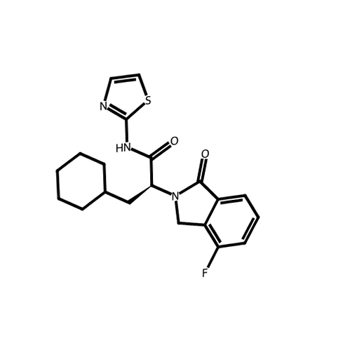 O=C(Nc1nccs1)[C@H](CC1CCCCC1)N1Cc2c(F)cccc2C1=O